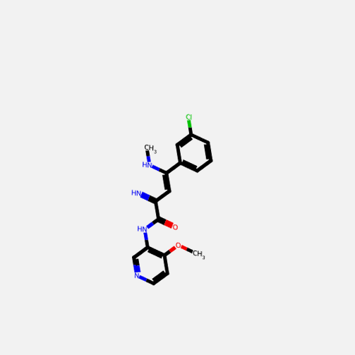 CN/C(=C\C(=N)C(=O)Nc1cnccc1OC)c1cccc(Cl)c1